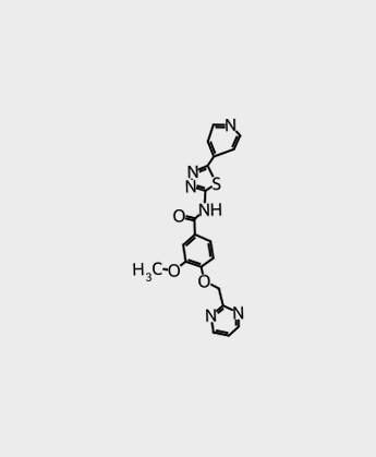 COc1cc(C(=O)Nc2nnc(-c3ccncc3)s2)ccc1OCc1ncccn1